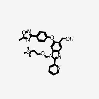 Cc1nc(-c2ccc(Oc3cc4c(cc3CO)nc(-c3ccccn3)n4COCC[Si](C)(C)C)cc2)no1